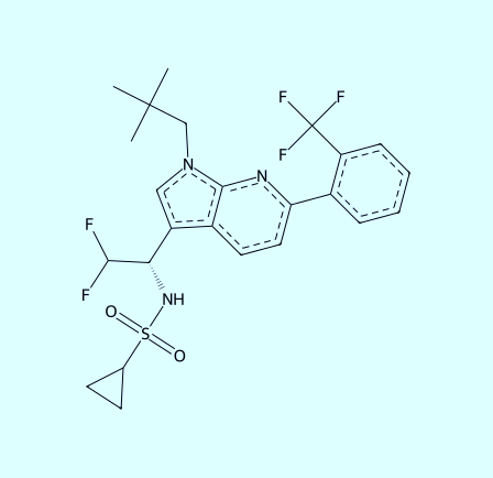 CC(C)(C)Cn1cc([C@H](NS(=O)(=O)C2CC2)C(F)F)c2ccc(-c3ccccc3C(F)(F)F)nc21